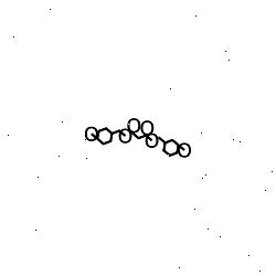 O=C(CC(=O)OCC1CCC2OC2C1)OCC1CCC2OC2C1